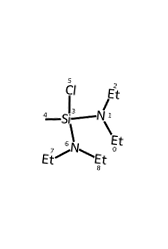 CCN(CC)[Si](C)(Cl)N(CC)CC